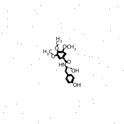 COc1cc(C(=O)N[C@H](CO)Cc2ccc(O)cc2)cc(OC)c1OC